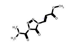 COC(=O)/C=C/n1nnn(C(=O)N(C)C)c1=O